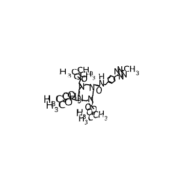 Cc1nnc(-c2ccc(CNC(=O)CN3CCN(CC(=O)OC(C)(C)C)CCN(CC(=O)OC(C)(C)C)CCN(CC(=O)OC(C)(C)C)CC3)cc2)nn1